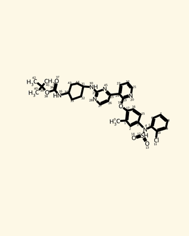 Cc1cc(N(c2ccccc2Cl)[SH](=O)=O)ccc1Oc1ncccc1-c1ccnc(NC2CCC(NC(=O)OC(C)(C)C)CC2)n1